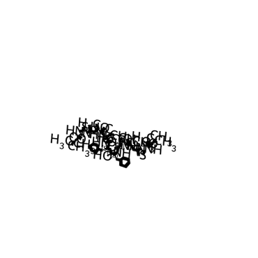 CC(C)[C@H](NC(=O)N(C)Cc1csc(NC(=O)OC(C)(C)C)n1)C(=O)N[C@@H](Cc1ccccc1)C[C@H](O)[C@H](Cc1ccccc1)NC(=O)[C@@H](NC(=O)N(C)Cc1csc(NC(=O)OC(C)(C)C)n1)C(C)C